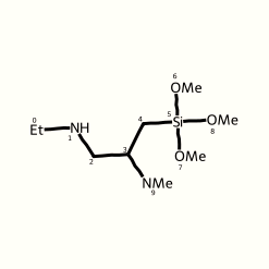 CCNCC(C[Si](OC)(OC)OC)NC